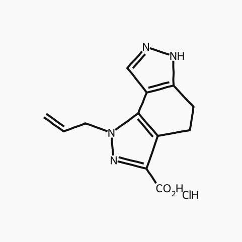 C=CCn1nc(C(=O)O)c2c1-c1cn[nH]c1CC2.Cl